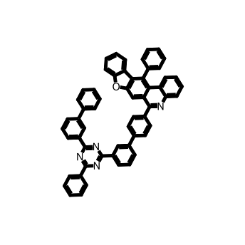 c1ccc(-c2cccc(-c3nc(-c4ccccc4)nc(-c4cccc(-c5ccc(-c6nc7ccccc7c7c(-c8ccccc8)c8c(cc67)oc6ccccc68)cc5)c4)n3)c2)cc1